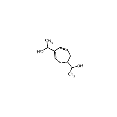 CC(O)C1=CCC(C(C)O)CC=C1